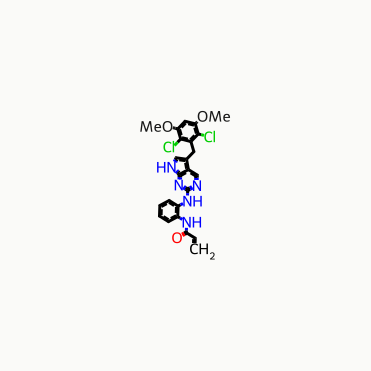 C=CC(=O)Nc1ccccc1Nc1ncc2c(Cc3c(Cl)c(OC)cc(OC)c3Cl)c[nH]c2n1